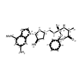 CNc1nc(N)nc2c1ncn2[C@@H]1O[C@H](COP(=S)(N[C@@H](C)C(=O)OC)Oc2ccccc2)CC1=N